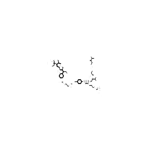 CCc1c2c(nc3ccc(OC(=O)N(C)CCN(C)C(=O)OCc4ccc(NC(=O)[C@H](CCCNC(N)=O)NC(=O)[C@@H](NC(=O)CCSSCCC(=O)C(C)C)C(C)C)cc4)cc13)-c1cc3c(c(=O)n1C2)COC(=O)[C@]3(O)CC